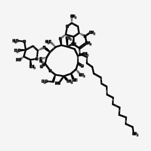 CCCCCCCCCCCCCCCCCC(=O)O[C@H]1[C@H](O[C@@H]2[C@@H](C)[C@H](O[C@H]3C[C@@](C)(OC)[C@@H](O)[C@H](C)O3)[C@@H](C)C(=O)O[C@H](CC)[C@@](C)(O)[C@H](O)[C@@H](C)C(=O)[C@H](C)C[C@@]2(C)O)O[C@H](C)C[C@@H]1N(C)C